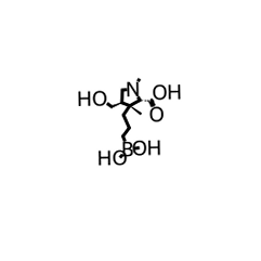 CN1C[C@H](CO)[C@@](C)(CCCB(O)O)[C@H]1C(=O)O